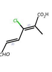 C/C(C(=O)O)=C(Cl)\C=C\C=O